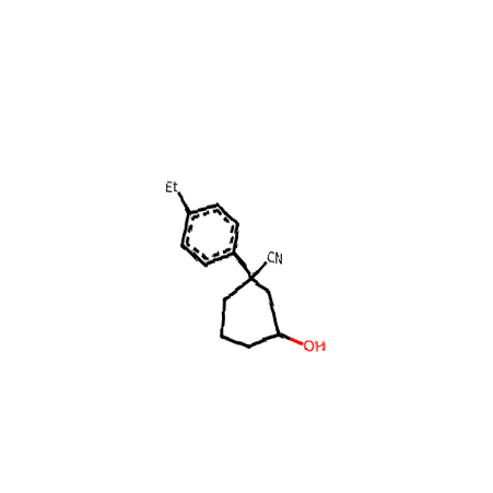 CCc1ccc(C2(C#N)CCCC(O)C2)cc1